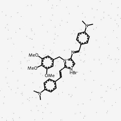 COc1cc(C[n+]2c(N=Cc3ccc(N(C)C)cc3)c[nH]c2C=Cc2ccc(N(C)C)cc2)cc(OC)c1OC.[Br-]